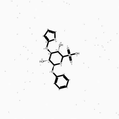 O=S(=O)(O)C1O[C@@H](Oc2ccccc2)[C@H](O)[C@@H](Oc2ccco2)[C@@H]1O